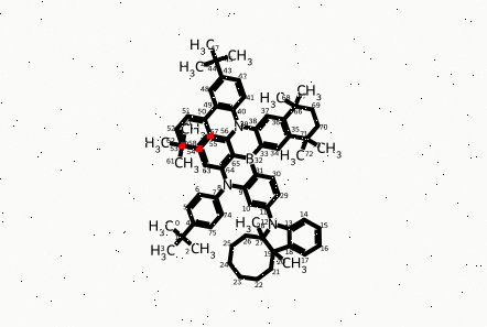 CC(C)(C)c1ccc(N2c3cc(N4c5ccccc5C5(C)CCCCCCC45C)ccc3B3c4cc5c(cc4N(c4ccc(C(C)(C)C)cc4-c4ccccc4)c4cc(C(C)(C)C)cc2c43)C(C)(C)CCC5(C)C)cc1